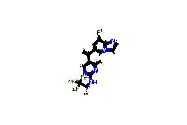 C=C(c1cc(F)c2nccn2c1)c1cnc(N[C@H](C)C(F)(F)F)nc1C